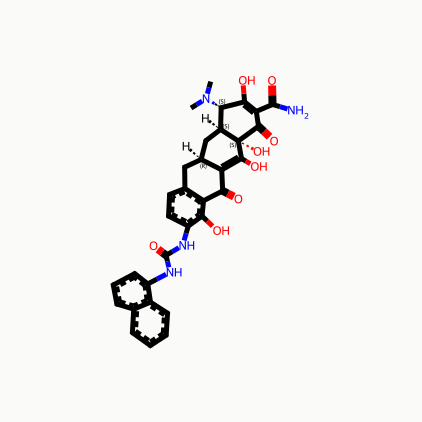 CN(C)[C@@H]1C(O)=C(C(N)=O)C(=O)[C@@]2(O)C(O)=C3C(=O)c4c(ccc(NC(=O)Nc5cccc6ccccc56)c4O)C[C@H]3C[C@@H]12